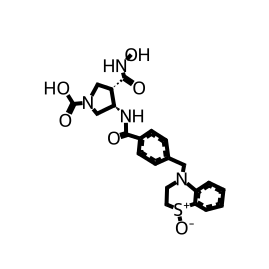 O=C(N[C@@H]1CN(C(=O)O)C[C@@H]1C(=O)NO)c1ccc(CN2CC[S+]([O-])c3ccccc32)cc1